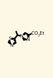 CCOC(=O)c1cn(C(C)c2cncs2)cn1